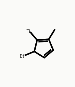 CCC1C=CC(C)=[C]1[Ti]